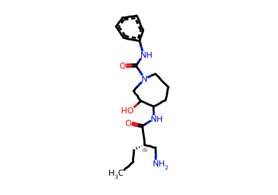 CCC[C@@H](CN)C(=O)NC1CCCN(C(=O)Nc2ccccc2)CC1O